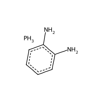 Nc1ccccc1N.P